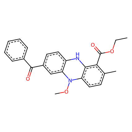 CCOC(=O)c1c(C)ccc2c1Nc1ccc(C(=O)c3ccccc3)cc1N2OC